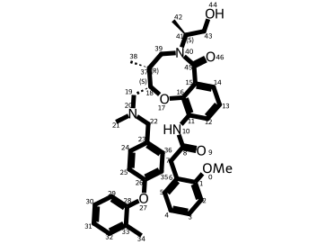 COc1ccccc1CC(=O)Nc1cccc2c1O[C@H](CN(C)Cc1ccc(Oc3ccccc3C)cc1)[C@H](C)CN([C@@H](C)CO)C2=O